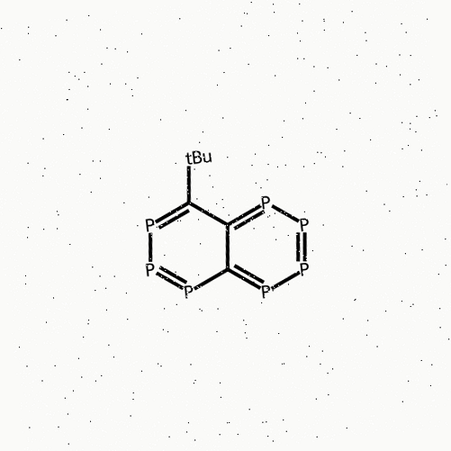 CC(C)(C)c1pppc2ppppc12